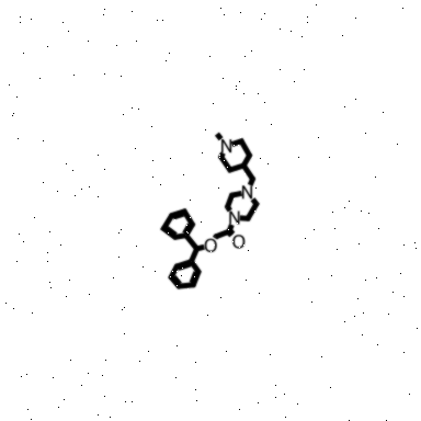 CN1CCC(CN2CCN(C(=O)COC(c3ccccc3)c3ccccc3)CC2)CC1